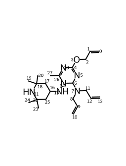 C=CCOC1=NC(N(CC=C)CC=C)N(NC2CC(C)(C)NC(C)(C)C2)C(C)=N1